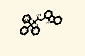 COC(OC)(C(O)Cc1cccc2c1[nH]c1ccccc12)C(c1ccccc1)(c1ccccc1)c1ccccc1